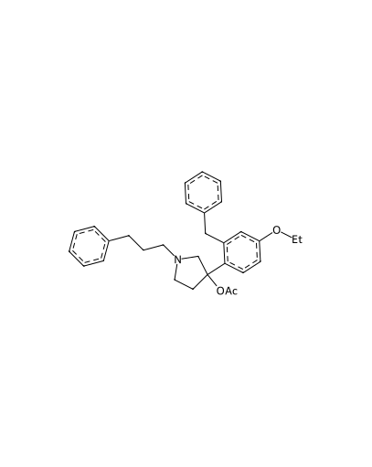 CCOc1ccc(C2(OC(C)=O)CCN(CCCc3ccccc3)C2)c(Cc2ccccc2)c1